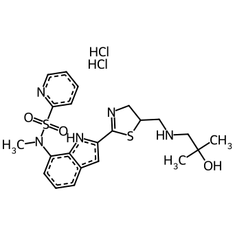 CN(c1cccc2cc(C3=NCC(CNCC(C)(C)O)S3)[nH]c12)S(=O)(=O)c1ccccn1.Cl.Cl